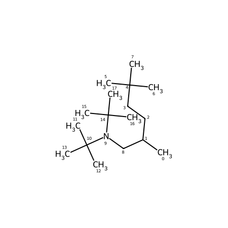 CC(CCC(C)(C)C)CN(C(C)(C)C)C(C)(C)C